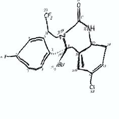 CC[C@H](C)[C@]1(c2ccc(F)cc2)C2=CC(Cl)=CCC2NC(=O)N1CC(F)(F)F